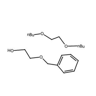 CCCCOCCOCCCC.OCCOCc1ccccc1